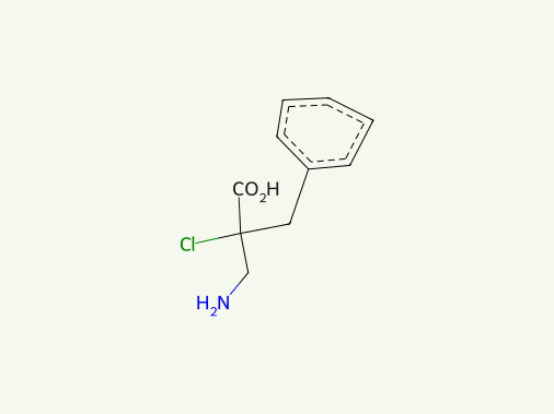 NCC(Cl)(Cc1ccccc1)C(=O)O